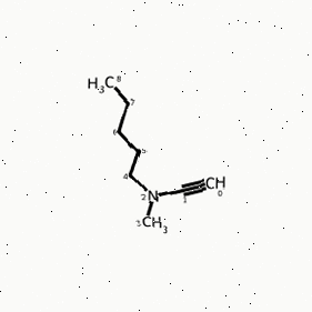 C#CN(C)CCCCC